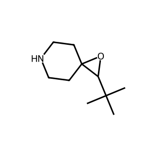 CC(C)(C)C1OC12CCNCC2